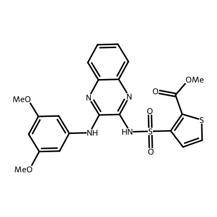 COC(=O)c1sccc1S(=O)(=O)Nc1nc2ccccc2nc1Nc1cc(OC)cc(OC)c1